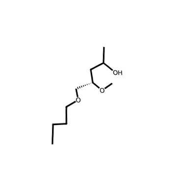 CCCCOC[C@H](CC(C)O)OC